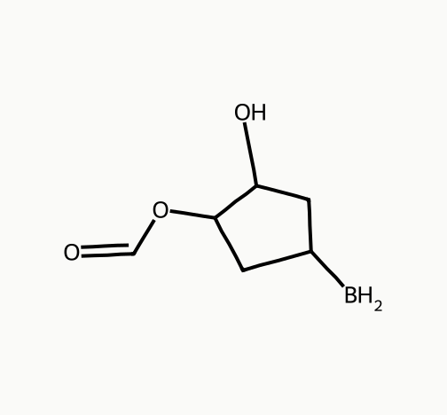 BC1CC(O)C(OC=O)C1